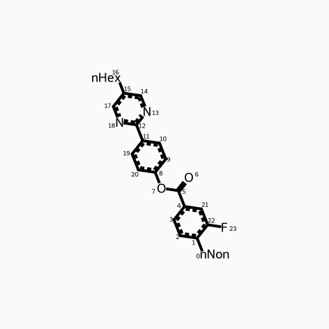 CCCCCCCCCc1ccc(C(=O)Oc2ccc(-c3ncc(CCCCCC)cn3)cc2)cc1F